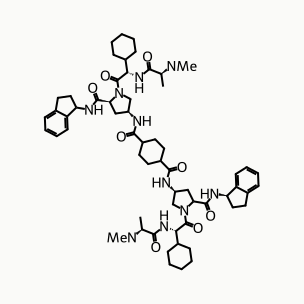 CN[C@@H](C)C(=O)N[C@H](C(=O)N1C[C@@H](NC(=O)C2CCC(C(=O)N[C@H]3C[C@@H](C(=O)NC4CCc5ccccc54)N(C(=O)[C@@H](NC(=O)[C@H](C)NC)C4CCCCC4)C3)CC2)CC1C(=O)N[C@@H]1CCc2ccccc21)C1CCCCC1